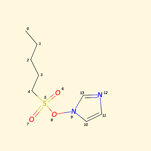 CCCCCS(=O)(=O)On1ccnc1